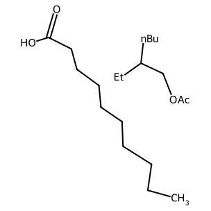 CCCCC(CC)COC(C)=O.CCCCCCCCCC(=O)O